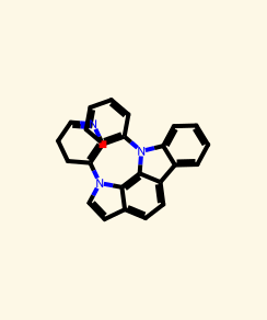 C1=NC=C(n2ccc3ccc4c5ccccc5n(-c5ccccc5)c4c32)CC1